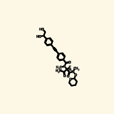 CN(OC1CCCCO1)C(=O)C(C)(C(N)=O)N(C)C(=O)c1ccc(C#Cc2ccc(C(O)CO)cc2)cc1